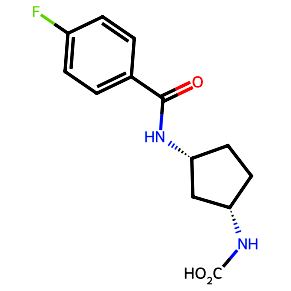 O=C(O)N[C@H]1CC[C@@H](NC(=O)c2ccc(F)cc2)C1